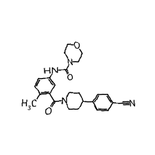 Cc1ccc(NC(=O)N2CCOCC2)cc1C(=O)N1CCC(c2ccc(C#N)cc2)CC1